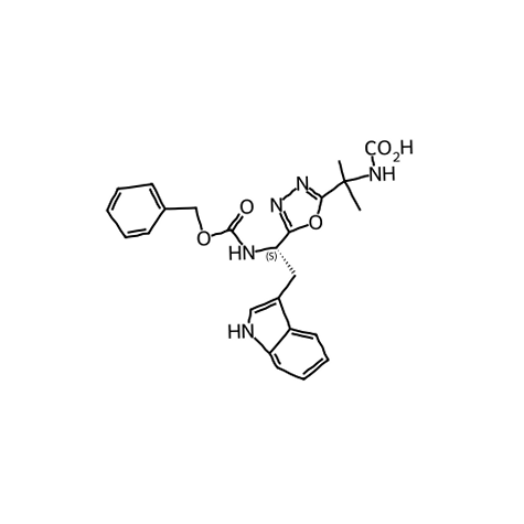 CC(C)(NC(=O)O)c1nnc([C@H](Cc2c[nH]c3ccccc23)NC(=O)OCc2ccccc2)o1